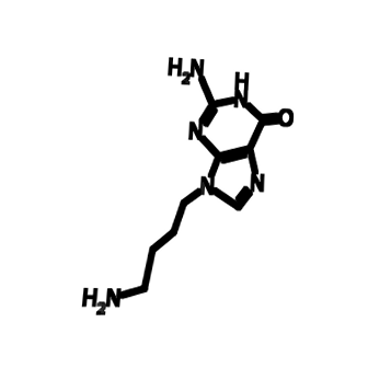 NCCCCn1cnc2c(=O)[nH]c(N)nc21